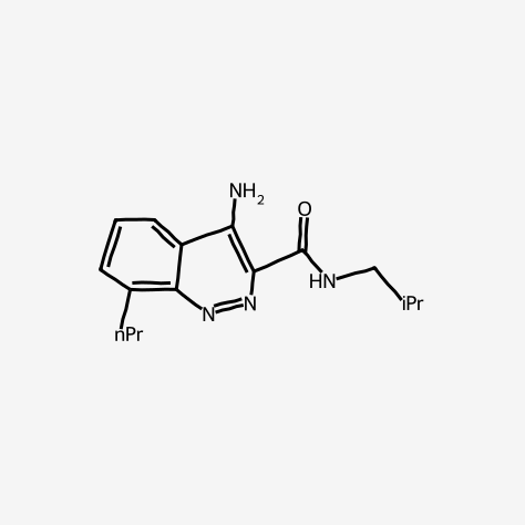 CCCc1cccc2c(N)c(C(=O)NCC(C)C)nnc12